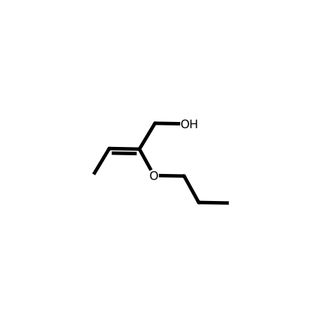 CC=C(CO)OCCC